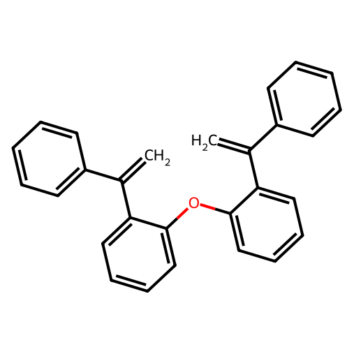 C=C(c1ccccc1)c1ccccc1Oc1ccccc1C(=C)c1ccccc1